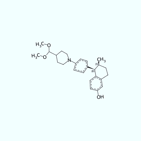 COC(OC)C1CCN(c2ccc([C@@H]3c4ccc(O)cc4CC[C@@H]3C)cc2)CC1